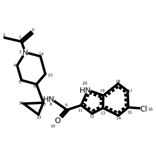 C=C(C)N1CCC(C2(NC(=O)c3cc4cc(Cl)ccc4[nH]3)CC2)CC1